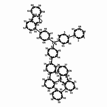 c1ccc(-c2ccc(N(c3ccc(-c4ccc(-c5ccccc5-n5c6ccccc6c6cccc(-c7ccccc7)c65)cc4)cc3)c3ccc(-c4cccc5c4oc4ccccc45)cc3)cc2)cc1